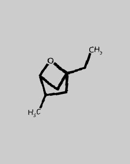 CCC12CC(C)C(C1)O2